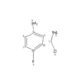 Cl[CH2][Pd].Fc1ccc(P)cc1